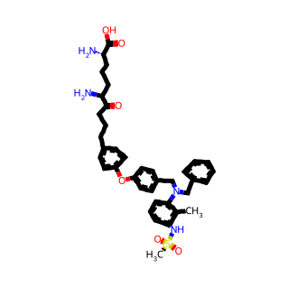 Cc1c(NS(C)(=O)=O)cccc1N(Cc1ccccc1)Cc1ccc(Oc2ccc(CCCC(=O)C(N)CCC[C@H](N)C(=O)O)cc2)cc1